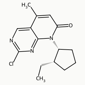 CC[C@H]1CCC[C@H]1n1c(=O)cc(C)c2cnc(Cl)nc21